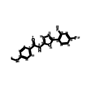 CSc1ccc(C(=O)Nc2nnc(-c3ccc(F)cc3F)o2)cc1